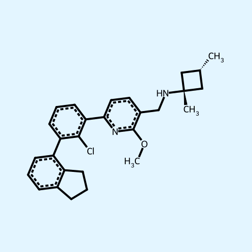 COc1nc(-c2cccc(-c3cccc4c3CCC4)c2Cl)ccc1CN[C@]1(C)C[C@H](C)C1